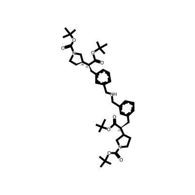 CC(C)(C)OC(=O)[C@@H](Cc1cccc(CNCc2cccc(C[C@H](C(=O)OC(C)(C)C)[C@H]3CCN(C(=O)OC(C)(C)C)C3)c2)c1)C1CCN(C(=O)OC(C)(C)C)C1